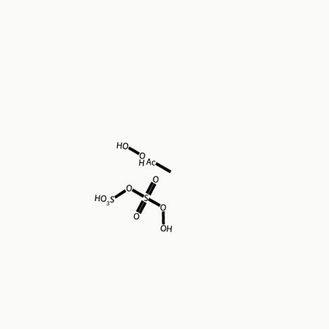 CC(C)=O.O=S(=O)(O)OS(=O)(=O)OO.OO